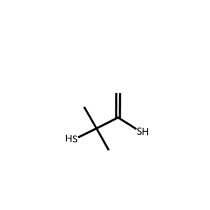 C=C(S)C(C)(C)S